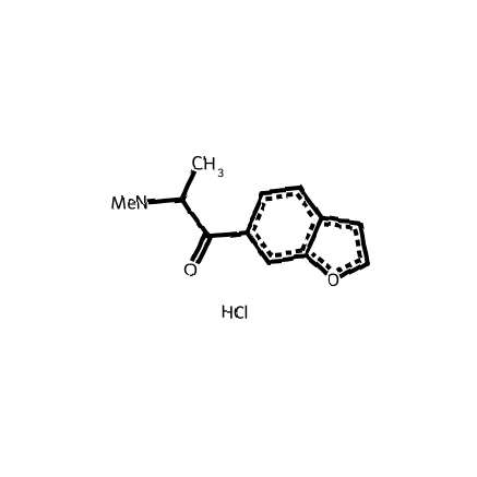 CNC(C)C(=O)c1ccc2ccoc2c1.Cl